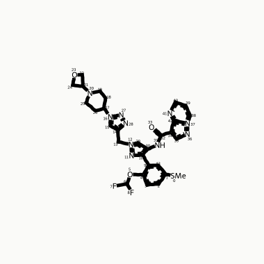 CSc1ccc(OC(F)F)c(-c2nn(Cc3cn(C4CCN(C5COC5)CC4)nn3)cc2NC(=O)c2cnn3cccnc23)c1